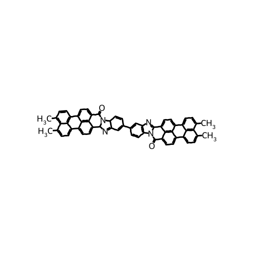 Cc1ccc2c3ccc4c5c(ccc(c6ccc(C)c1c26)c53)C1N=C2C=C(c3ccc5c(c3)nc3c6ccc7c8ccc(C)c9c(C)ccc(c%10ccc(c(=O)n53)c6c%107)c98)C=CC2N1C4=O